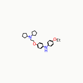 CCOc1ccc(Nc2ccc(OCCN(C3CCCC3)C3CCCC3)cc2)cc1